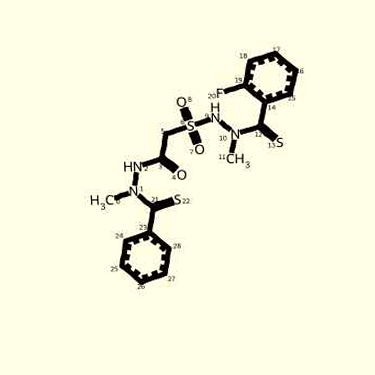 CN(NC(=O)CS(=O)(=O)NN(C)C(=S)c1ccccc1F)C(=S)c1ccccc1